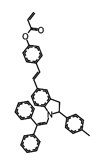 C=CC(=O)Oc1ccc(C=Cc2ccc3c(c2)CC(c2ccc(C)cc2)N3C=C(c2ccccc2)c2ccccc2)cc1